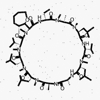 CC[C@H]1NC(=O)[C@@H]([C@@H]2OCCCC[C@H]2C)N(C)C(=O)[C@@H](C(C)C)N(C)C(=O)[C@@H](CC(C)C)N(C)C(=O)[C@@H](CC(C)C)N(C)C(=O)[C@H](C)NC(=O)[C@@H](C)NC(=O)[C@@H](CC(C)C)N(C)C(=O)[C@@H](C(C)C)NC(=O)[C@H](CC(C)C)N(C)C(=O)[C@@H](C)N(C)C1=O